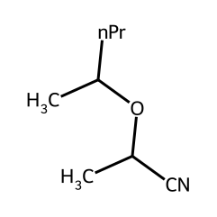 CCCC(C)OC(C)C#N